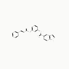 Cn1ccc2cc(C(=N)Nc3cccc(NC(=O)C=Cc4ccccc4)c3)ccc21